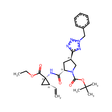 C=C[C@@H]1C[C@@]1(NC(=O)[C@@H]1C[C@@H](c2nnn(Cc3ccccc3)n2)CN1C(=O)OC(C)(C)C)C(=O)OCC